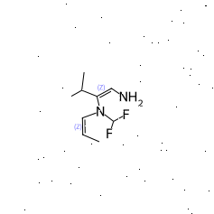 C/C=C\N(/C(=C\N)C(C)C)C(F)F